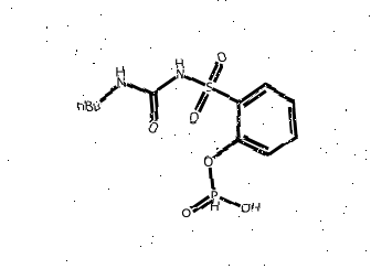 CCCCNC(=O)NS(=O)(=O)c1ccccc1O[PH](=O)O